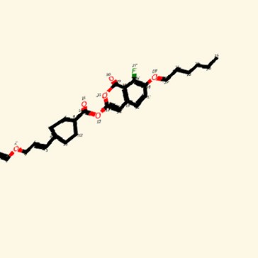 C=COC/C=C/C1CCC(C(=O)Oc2cc3ccc(OCCCCCC)c(F)c3c(=O)o2)CC1